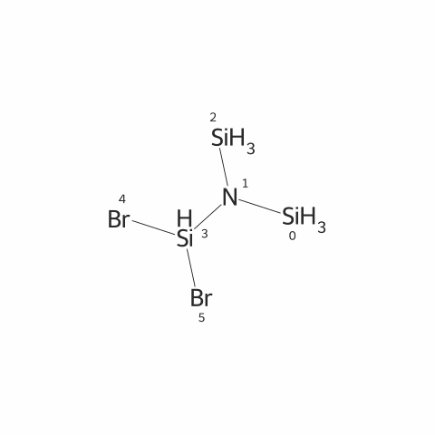 [SiH3]N([SiH3])[SiH](Br)Br